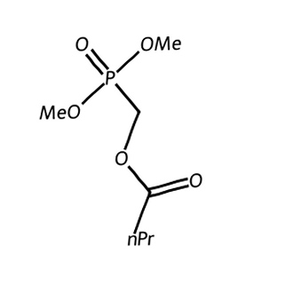 CCCC(=O)OCP(=O)(OC)OC